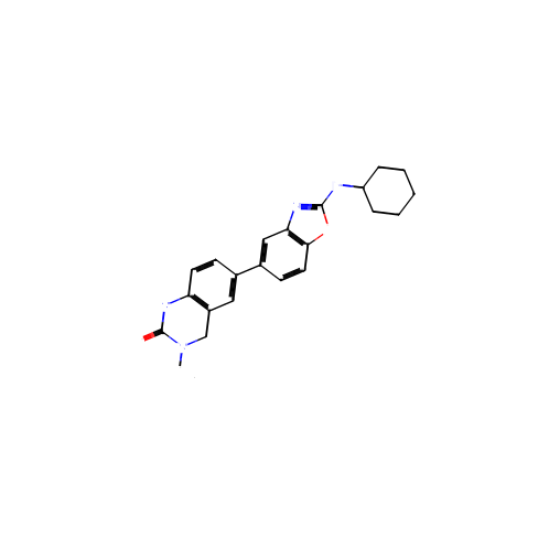 CN1Cc2cc(-c3ccc4oc(NC5CCCCC5)nc4c3)ccc2NC1=O